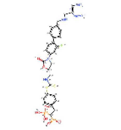 N=N/C(=C\N)CNCc1ccc(-c2ccc(N3C[C@H](CNC(=S)Sc4ccc(CC([PH](=O)O)[PH](O)(O)O)cc4)OC3=O)cc2F)cc1